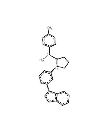 Cc1ccc([C@@H](C)N2CCC[C@H]2c2ccnc(-n3ccc4ccccc43)c2)cc1